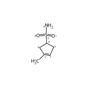 CC1=CCC(S(N)(=O)=O)C1